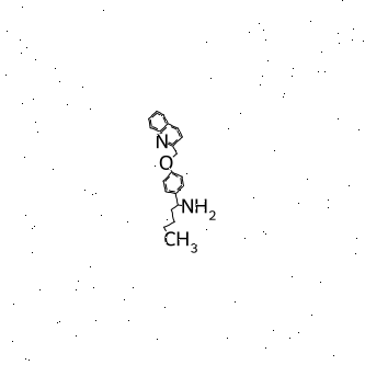 CCCCC(N)c1ccc(OCc2ccc3ccccc3n2)cc1